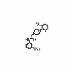 CC(C)(C)c1cccc(NC(=O)CN2CCN(c3ncccc3C#N)CC2)c1